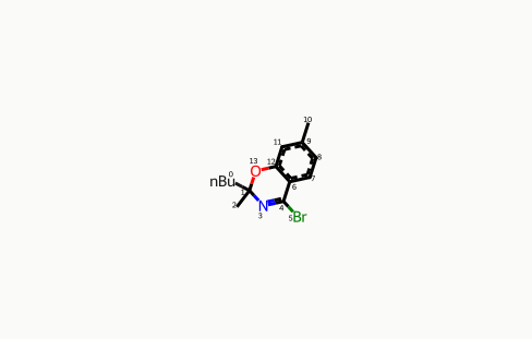 CCCCC1(C)N=C(Br)c2ccc(C)cc2O1